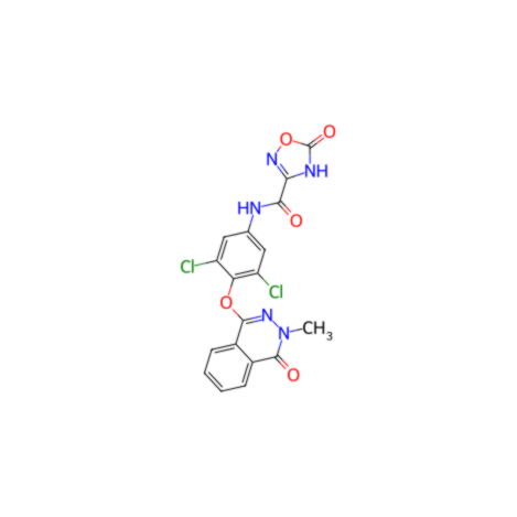 Cn1nc(Oc2c(Cl)cc(NC(=O)c3noc(=O)[nH]3)cc2Cl)c2ccccc2c1=O